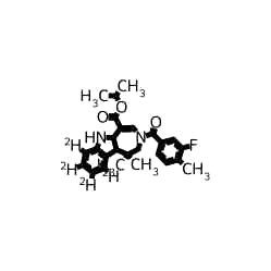 [2H]c1c([2H])c([2H])c2c(c1[2H])NC1C(C(=O)OC(C)C)=CN(C(=O)c3ccc(C)c(F)c3)CC(C)(C)C21